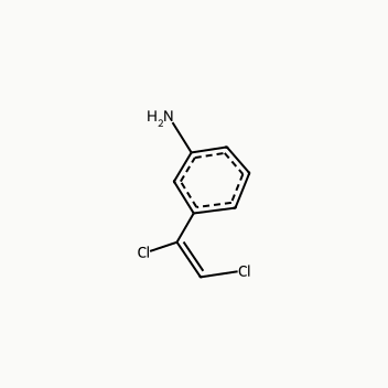 Nc1cccc(/C(Cl)=C\Cl)c1